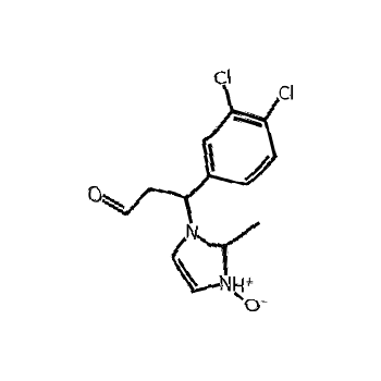 CC1N(C(CC=O)c2ccc(Cl)c(Cl)c2)C=C[NH+]1[O-]